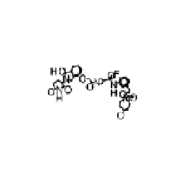 O=C1CCN(S(=O)(=O)Cc2ccc(F)c(NC(=O)C3CN(C(=O)COc4cccc5c4CN(C4CCC(=O)NC4=O)C5O)C3)c2)CC1